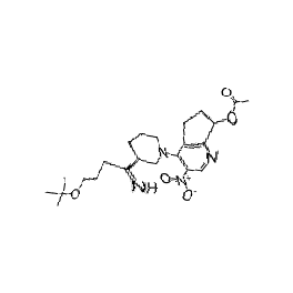 CC(=O)OC1CCc2c1ncc([N+](=O)[O-])c2N1CCC[C@H](C(=N)CCCOC(C)(C)C)C1